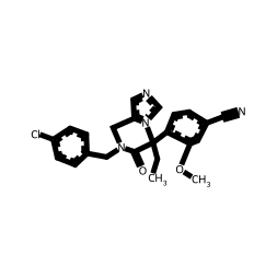 CCC1(c2ccc(C#N)cc2OC)C(=O)N(Cc2ccc(Cl)cc2)Cc2cncn21